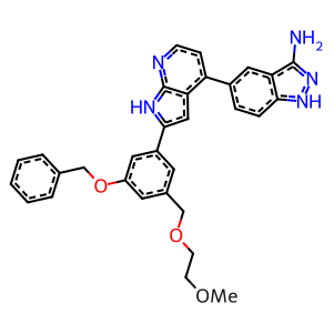 COCCOCc1cc(OCc2ccccc2)cc(-c2cc3c(-c4ccc5[nH]nc(N)c5c4)ccnc3[nH]2)c1